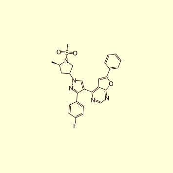 C[C@@H]1CC(n2cc(-c3ncnc4oc(-c5ccccc5)cc34)c(-c3ccc(F)cc3)n2)CN1S(C)(=O)=O